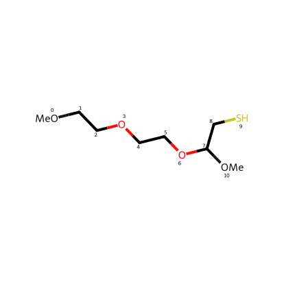 COCCOCCOC(CS)OC